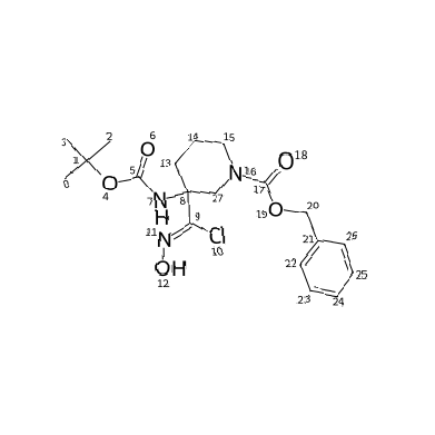 CC(C)(C)OC(=O)NC1(/C(Cl)=N/O)CCCN(C(=O)OCc2ccccc2)C1